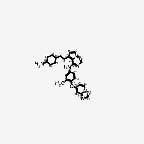 Cc1cc(Nc2ncnn3ccc(CCC4CCC(N)CC4)c23)ccc1Oc1ccn2ncnc2c1